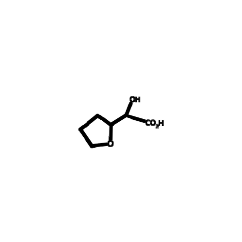 O=C(O)C(O)C1CCCO1